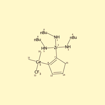 CCCC[NH][Zr]([NH]CCCC)([NH]CCCC)[C]1=[C]([Ge]([CH3])([CH3])[C](F)(F)F)C=CC1